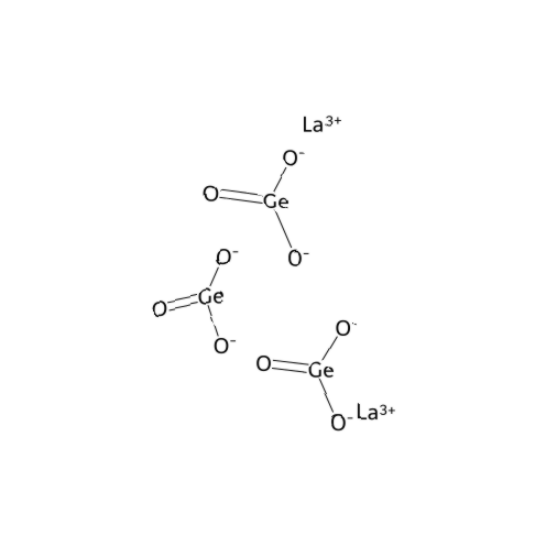 [La+3].[La+3].[O]=[Ge]([O-])[O-].[O]=[Ge]([O-])[O-].[O]=[Ge]([O-])[O-]